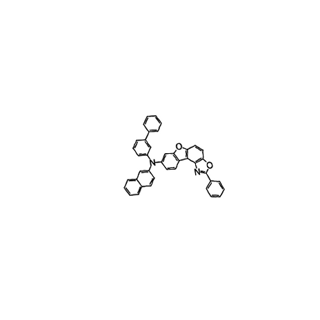 c1ccc(-c2cccc(N(c3ccc4ccccc4c3)c3ccc4c(c3)oc3ccc5oc(-c6ccccc6)nc5c34)c2)cc1